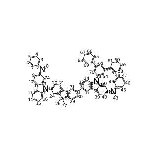 CN(c1ccccc1)c1ccc2c3ccccc3n(-c3ccc4c(c3)C(C)(C)c3ccc(-c5ccc6c(c5)c5ccc(N(C)c7ccccc7)cc5n6-c5cc(-c6ccccc6)cc(-c6ccccc6)c5)cc3-4)c2c1